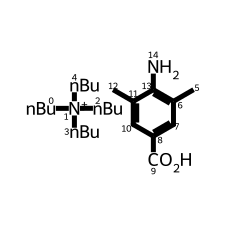 CCCC[N+](CCCC)(CCCC)CCCC.Cc1cc(C(=O)O)cc(C)c1N